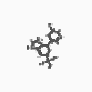 Fc1cncc(-c2cc(C(F)(F)F)cc3[nH]cnc23)c1